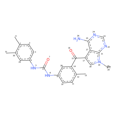 Cc1ccc(NC(=O)Nc2ccc(C)c(C(=O)c3cn(C(C)C)c4ncnc(N)c34)c2)cc1C